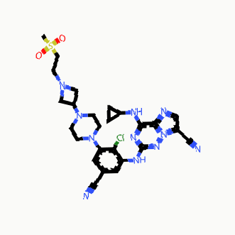 CS(=O)(=O)CCN1CC(N2CCN(c3cc(C#N)cc(Nc4nc(NC5CC5)c5ncc(C#N)n5n4)c3Cl)CC2)C1